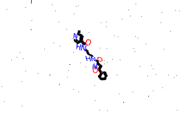 Cc1cc(C(=O)NCCCNC(=O)c2cc(-c3ccccc3)on2)ccn1